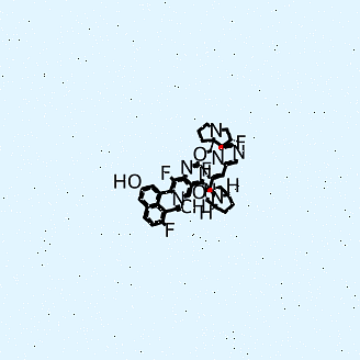 C#Cc1c(F)ccc2cc(O)cc(-c3ncc4c(N5C[C@H]6CC[C@@H](C5)N6C(=O)/C(F)=C/c5cnccn5)nc(OC[C@@]56CCCN5C[C@H](F)C6)nc4c3F)c12